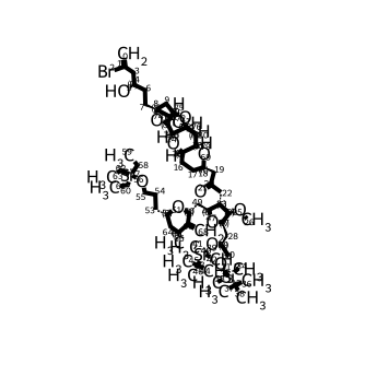 C=C(Br)C[C@H](O)CC[C@@]12C[C@H]3O[C@@H]4[C@@H](O[C@H]5CC[C@H](CC(=O)C[C@@H]6[C@@H](OC)[C@@H](C[C@@H](CO[Si](C)(C)C(C)(C)C)O[Si](C)(C)C(C)(C)C)O[C@H]6C[C@H]6O[C@@H](CCCO[Si](CC)(CC)CC)C[C@@H](C)C6=C)O[C@@H]5[C@H]4O1)[C@H]3O2